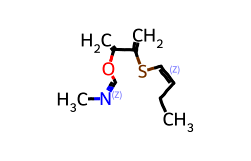 C=C(O/C=N\C)C(=C)S/C=C\CC